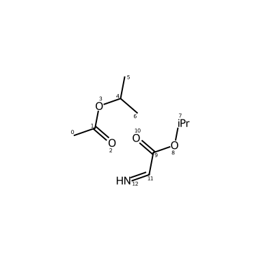 CC(=O)OC(C)C.CC(C)OC(=O)C=N